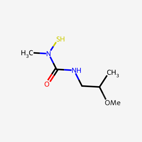 COC(C)CNC(=O)N(C)S